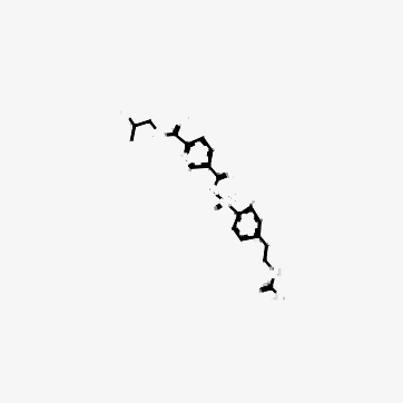 CCCCC(C)COC(=O)c1ccc(C(=O)NS(=O)(=O)c2ccc(CCNC(=O)CCC)cc2)cn1